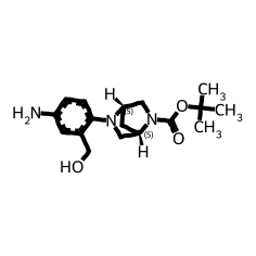 CC(C)(C)OC(=O)N1C[C@@H]2C[C@H]1CN2c1ccc(N)cc1CO